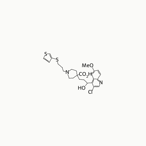 COc1ccc2ncc(Cl)c(C(O)CCC3(C(=O)O)CCN(CCCSc4ccsc4)CC3)c2c1